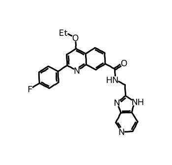 CCOc1cc(-c2ccc(F)cc2)nc2cc(C(=O)NCc3nc4cnccc4[nH]3)ccc12